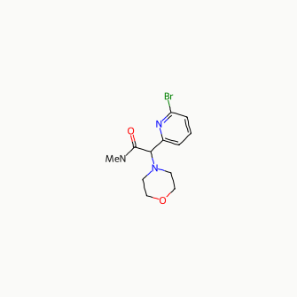 CNC(=O)C(c1cccc(Br)n1)N1CCOCC1